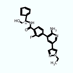 CCn1cc(-c2cnc(N)c(-c3ccc(C(=O)N[C@H](CO)c4ccccc4)c(F)c3)c2)cn1